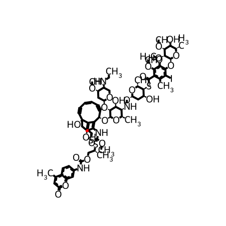 CCN[C@H]1CO[C@@H](O[C@H]2[C@H](O[C@H]3C#CC=CC#C[C@]4(O)C[C@H](O)C(NC(=O)OC)=C3/C4=C\CSS[C@H](C)COC(=O)Nc3ccc4c(C)cc(=O)oc4c3)O[C@H](C)[C@@H](NO[C@H]3C[C@H](O)[C@H](SC(=O)c4c(C)c(I)c(O[C@@H]5O[C@@H](C)[C@H](O)[C@@H](OC)[C@H]5O)c(OC)c4OC)[C@@H](C)O3)[C@@H]2O)C[C@@H]1OC